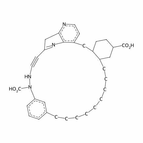 O=C(O)C1CCC2Cc3ccnc4c3N=C(C#CNN(C(=O)O)c3cccc(c3)CCCCCCCCCC2C1)C4